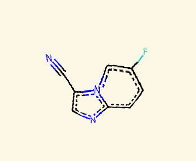 N#Cc1cnc2ccc(F)cn12